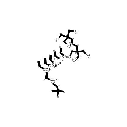 C=CC(=O)O.C=CC(=O)O.C=CC(=O)O.C=CC(=O)O.C=CC(=O)O.C=CC(=O)O.CCC(C)(C)C.OCC(CO)(CO)COCC(CO)(CO)CO